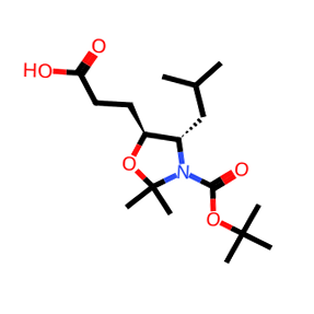 CC(C)C[C@H]1[C@H](CCC(=O)O)OC(C)(C)N1C(=O)OC(C)(C)C